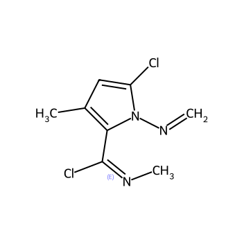 C=Nn1c(Cl)cc(C)c1/C(Cl)=N\C